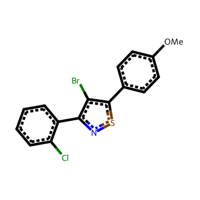 COc1ccc(-c2snc(-c3ccccc3Cl)c2Br)cc1